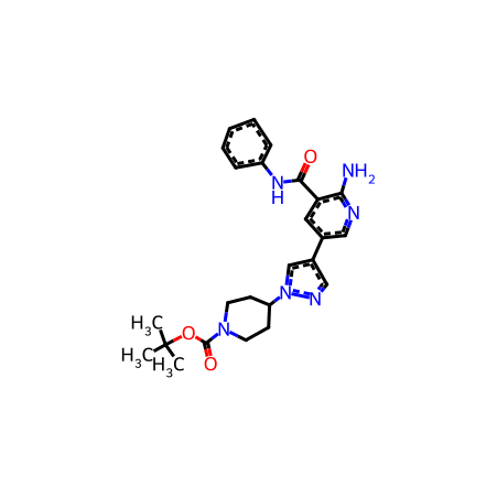 CC(C)(C)OC(=O)N1CCC(n2cc(-c3cnc(N)c(C(=O)Nc4ccccc4)c3)cn2)CC1